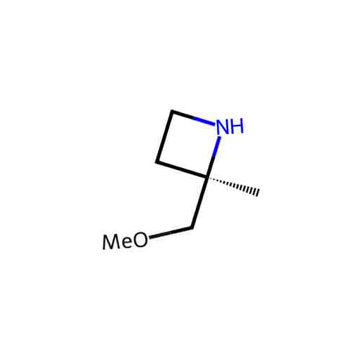 COC[C@@]1(C)CCN1